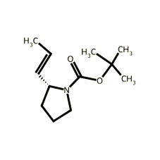 C/C=C/[C@H]1CCCN1C(=O)OC(C)(C)C